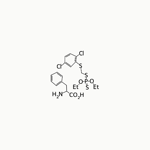 CCOP(=S)(OCC)SCSc1cc(Cl)ccc1Cl.NC(Cc1ccccc1)C(=O)O